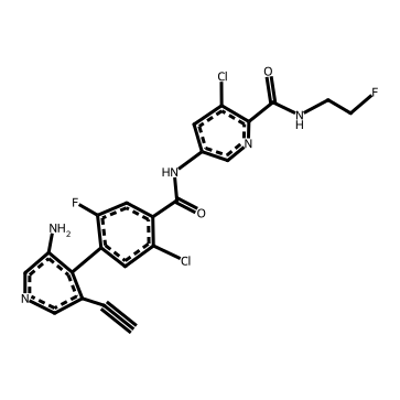 C#Cc1cncc(N)c1-c1cc(Cl)c(C(=O)Nc2cnc(C(=O)NCCF)c(Cl)c2)cc1F